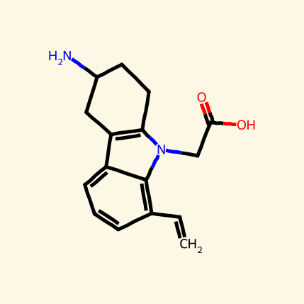 C=Cc1cccc2c3c(n(CC(=O)O)c12)CCC(N)C3